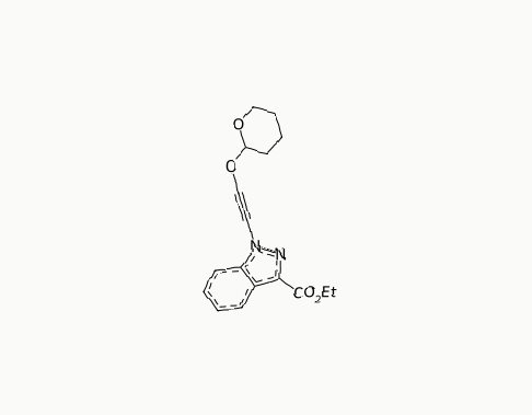 CCOC(=O)c1nn(C#COC2CCCCO2)c2ccccc12